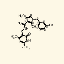 Cc1cc(C)c(CNC(=O)c2c(C)cn(Cc3cccc(F)c3)c2C)c(=O)[nH]1